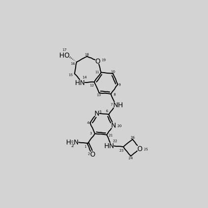 NC(=O)c1cnc(Nc2ccc3c(c2)NC[C@H](O)CO3)nc1NC1COC1